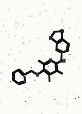 Cc1nc(Nc2ccc3c(c2)OCO3)c(C)c(C)c1OCc1ccccc1